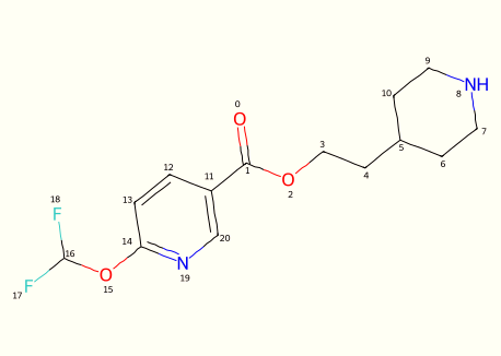 O=C(OCCC1CCNCC1)c1ccc(OC(F)F)nc1